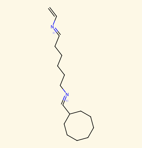 C=C/N=C/CCCCC/N=C/C1CCCCCCC1